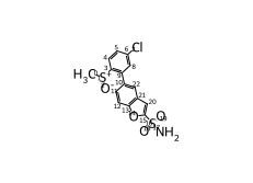 C[S+]([O-])c1ccc(Cl)cc1-c1ccc2oc(S(N)(=O)=O)cc2c1